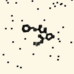 COC(=O)[C@H]1COC[C@H]1NCC(=O)OCc1ccccc1